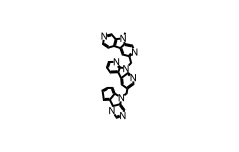 Cn1c2cnccc2c2cc(Cn3c4ncccc4c4cc(Cn5c6ccccc6c6ncncc65)cnc43)ncc21